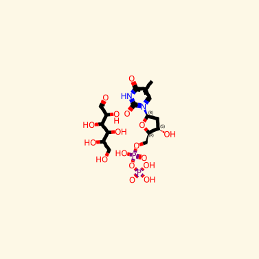 Cc1cn([C@H]2C[C@H](O)[C@@H](COP(=O)(O)OP(=O)(O)O)O2)c(=O)[nH]c1=O.O=CC(O)C(O)C(O)C(O)CO